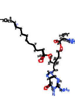 CCCCCCCC/C=C/CCCCCCCC(=O)OC[C@H](CCOC(=O)[C@@H](N)C(C)C)Cn1cnc2c(=O)[nH]c(N)nc21